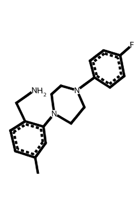 Cc1ccc(CN)c(N2CCN(c3ccc(F)cc3)CC2)c1